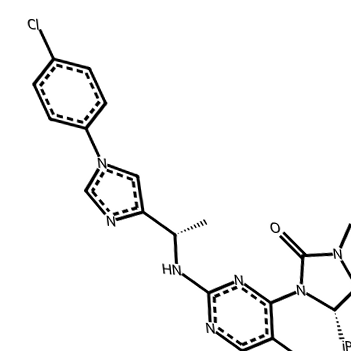 CC(C)[C@H]1CN(C)C(=O)N1c1nc(N[C@@H](C)c2cn(-c3ccc(Cl)cc3)cn2)ncc1F